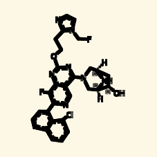 O[C@@H]1C[C@@H]2CN(c3nc(OCCc4nccn4CF)nc4c(F)c(-c5cccc6cccc(Cl)c56)ncc34)C[C@H]1N2